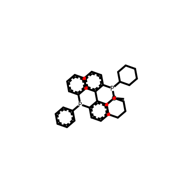 COc1cccc(P(c2ccccc2)c2ccccc2)c1-c1ccccc1P(C1CCCCC1)C1CCCCC1